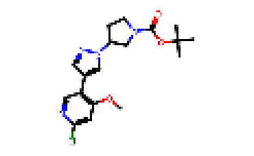 COc1cc(Cl)ncc1-c1cnn(C2CCN(C(=O)OC(C)(C)C)C2)c1